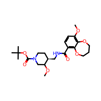 COc1ccc(C(=O)NC[C@@H]2CCN(C(=O)OC(C)(C)C)CC2OC)c2c1OCCCO2